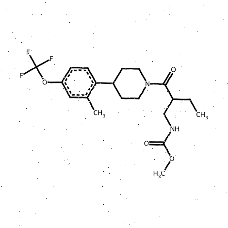 CCC(CNC(=O)OC)C(=O)N1CCC(c2ccc(OC(F)(F)F)cc2C)CC1